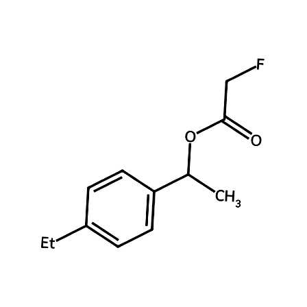 CCc1ccc(C(C)OC(=O)CF)cc1